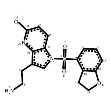 NCCc1cn(S(=O)(=O)c2cccc3c2CCO3)c2ccc(Cl)nc12